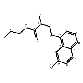 CCCNC(=O)N(C)CCc1cccc2ccc(O)cc12